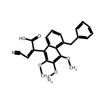 COc1c(OC)c(OC)c2c(Cc3ccccc3)cccc2c1C(=CC#N)C(=O)O